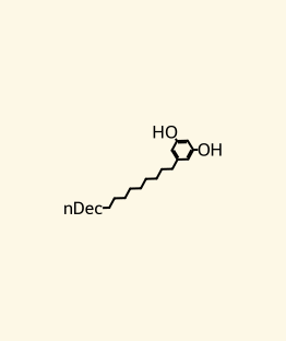 CCCCCCCCCCCCCCCCCCCc1cc(O)cc(O)c1